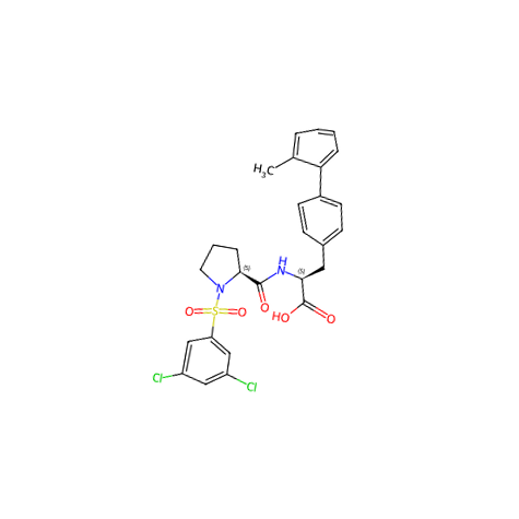 Cc1ccccc1-c1ccc(C[C@H](NC(=O)[C@@H]2CCCN2S(=O)(=O)c2cc(Cl)cc(Cl)c2)C(=O)O)cc1